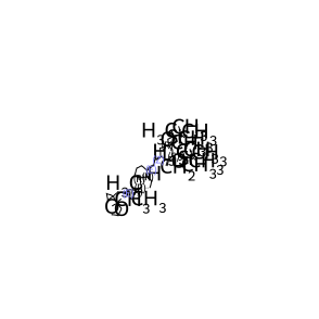 C=C1/C(=C\C=C2/CCC[C@]3(C)[C@@H]([C@H](C)/C=C/CC4(C5(C)OCCO5)CC4)CC[C@@H]23)C[C@@H](O[Si](C)(C)C(C)(C)C)C[C@@H]1O[Si](C)(C)C(C)(C)C